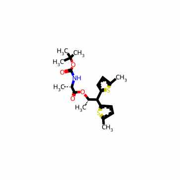 Cc1ccc(C(c2ccc(C)s2)[C@H](C)OC(=O)[C@H](C)NC(=O)OC(C)(C)C)s1